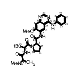 CNC(C)C(=O)NC(C(=O)N1CCCC1C(=O)Nc1cc2c(Nc3ccccc3)ncnc2cc1OC)C(C)(C)C